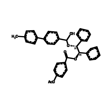 CC(=O)Oc1ccc(C(=O)O[C@H](c2ccccc2)[C@H](OC(O)c2ccc(-c3ccc(C)cc3)cc2)c2ccccc2)cc1